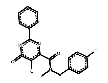 CN(Cc1ccc(F)cc1)C(=O)c1nc(-c2ccccc2)[nH]c(=O)c1O